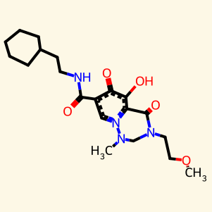 COCCN1CN(C)n2cc(C(=O)NCCC3CCCCC3)c(=O)c(O)c2C1=O